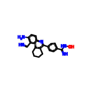 N=Cc1c(N)ccc2nc(-c3ccc(C(=N)NO)cc3)c3c(c12)CCCC3